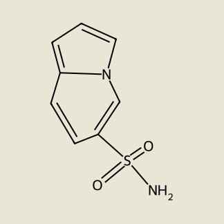 NS(=O)(=O)c1ccc2cccn2c1